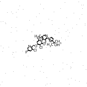 Cc1cnc(-n2ccc(C(C)(C)O)n2)c(F)c1-n1c(C)cc(OCc2ncc(F)cc2Cl)c(Cl)c1=O